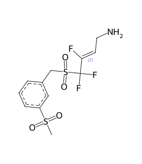 CS(=O)(=O)c1cccc(CS(=O)(=O)C(F)(F)/C(F)=C/CN)c1